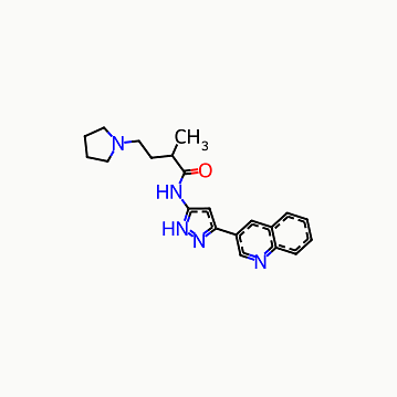 CC(CCN1CCCC1)C(=O)Nc1cc(-c2cnc3ccccc3c2)n[nH]1